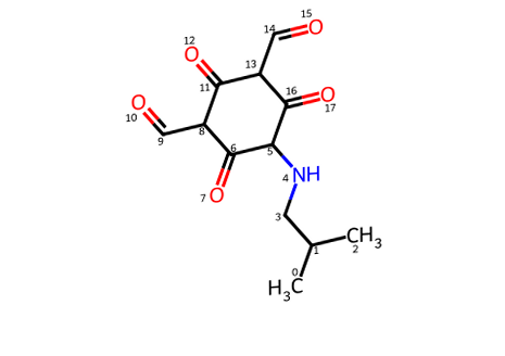 CC(C)CNC1C(=O)C(C=O)C(=O)C(C=O)C1=O